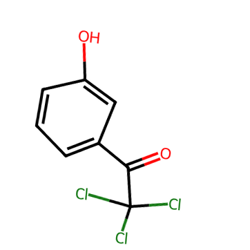 O=C(c1cccc(O)c1)C(Cl)(Cl)Cl